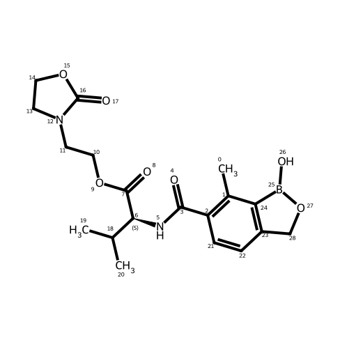 Cc1c(C(=O)N[C@H](C(=O)OCCN2CCOC2=O)C(C)C)ccc2c1B(O)OC2